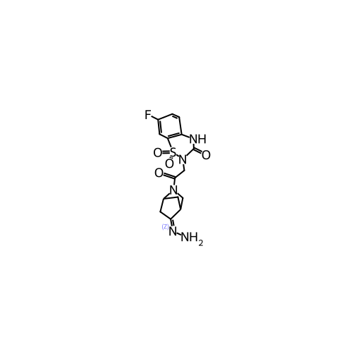 N/N=C1/CC2CC1CN2C(=O)CN1C(=O)Nc2ccc(F)cc2S1(=O)=O